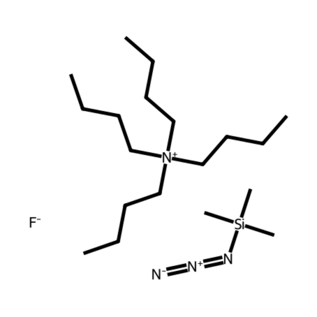 CCCC[N+](CCCC)(CCCC)CCCC.C[Si](C)(C)N=[N+]=[N-].[F-]